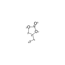 O=C1OCC(CI)O1